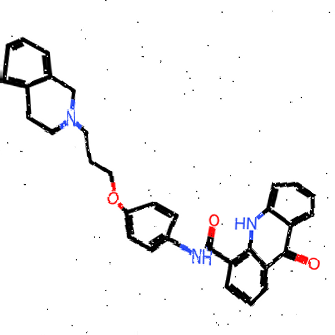 O=C(Nc1ccc(OCCCN2CCc3ccccc3C2)cc1)c1cccc2c(=O)c3ccccc3[nH]c12